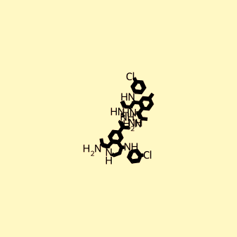 C=C(NN/C=C(\C=N)c1ccc2c(c1)C(Nc1cccc(Cl)c1)CCN/C2=C(/C)N)C1N/C(=C(/C)N)c2ccc(C)cc2C1Nc1cccc(Cl)c1